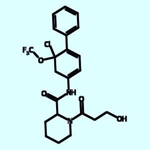 O=C(NC1=CC=C(c2ccccc2)C(Cl)(OC(F)(F)F)C1)C1CCCCN1C(=O)CCO